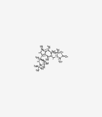 [2H]c1c(C[C@@H]2N([2H])C(=O)OC2([2H])[2H])c([2H])c2c(C([2H])([2H])CN(C([2H])([2H])[2H])C([2H])([2H])[2H])cn([2H])c2c1[2H]